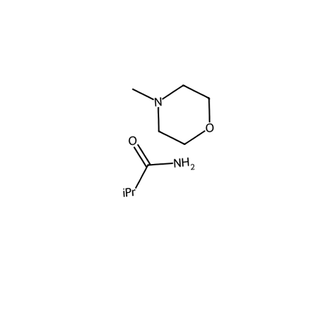 CC(C)C(N)=O.CN1CCOCC1